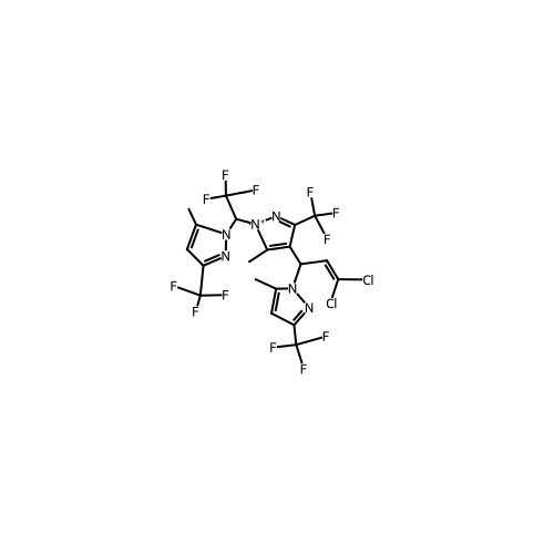 CC1=C(C(C=C(Cl)Cl)n2nc(C(F)(F)F)cc2C)C(C(F)(F)F)=N[N+]1C(n1nc(C(F)(F)F)cc1C)C(F)(F)F